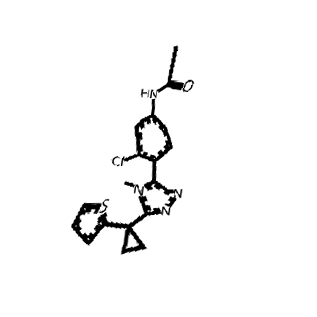 CC(=O)Nc1ccc(-c2nnc(C3(c4cccs4)CC3)n2C)c(Cl)c1